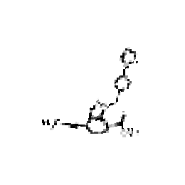 CC#Cc1ccc(C(=O)OC)c2c1cnn2Cc1ccc(-n2cccn2)cc1